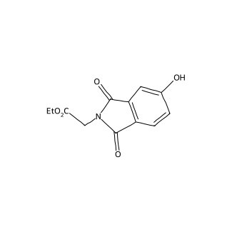 CCOC(=O)CN1C(=O)c2ccc(O)cc2C1=O